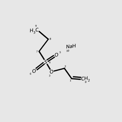 C=CCOS(=O)(=O)CCC.[NaH]